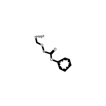 CCCCCCCCO[N]C(=O)Oc1ccccc1